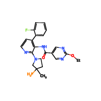 CCOc1ncc(C(=O)Nc2c(-c3ccccc3F)ccnc2N2CCC(C)(P)C2)cn1